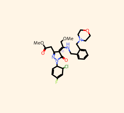 COC/C(NCc1ccccc1CN1CCOCC1)=C1/C(=O)N(C2C=CC(F)=CC2Cl)N=C1CC(=O)OC